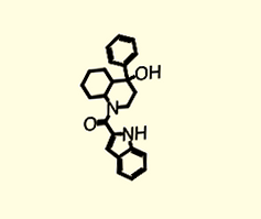 O=C(c1cc2ccccc2[nH]1)N1CCC(O)(c2ccccc2)C2CCCCC21